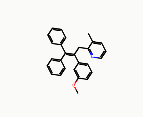 COc1cccc(C(Cc2ncccc2C)=C(c2ccccc2)c2ccccc2)c1